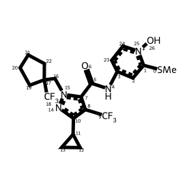 CSc1cc(NC(=O)c2c(C(F)(F)F)c(C3CC3)nn2CC2(C(F)(F)F)CCCC2)cc[n+]1O